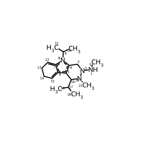 CNN1Cc2c(c3c(n2C(C)C)=CCCC=3)C(C(C)C)N1C